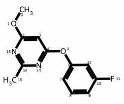 COc1cc(Oc2cccc(F)c2)nc(C)n1